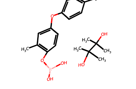 CC(C)(O)C(C)(C)O.Cc1cc(Oc2ccc(C#N)cc2)ccc1OB(O)O